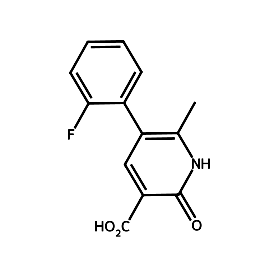 Cc1[nH]c(=O)c(C(=O)O)cc1-c1ccccc1F